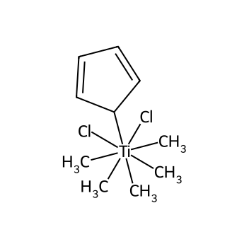 [CH3][Ti]([CH3])([CH3])([CH3])([CH3])([Cl])([Cl])[CH]1C=CC=C1